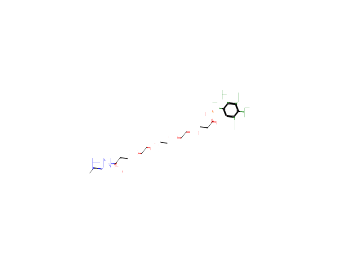 CCCNC(=O)CCOCCOCCOCCOCCC(=O)Oc1c(F)c(F)c(F)c(F)c1F